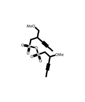 CC#CC(COC)CS(=O)(=O)OS(=O)(=O)CC(C#CC)OC